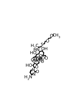 C=C(CSCCOCCOC)N[C@@H]1C(O)C[C@](C=O)(OP(=O)(O)OCC2OC(n3ccc(N)nc3=O)[C@H](O)[C@@H]2O)OC1[C@H](O)[C@H](O)CO